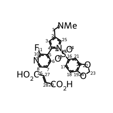 CNCc1cc(-c2cccnc2F)n(S(=O)(=O)c2ccc3c(c2)OCO3)c1.O=C(O)C=CC(=O)O